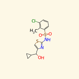 Cc1c(Cl)cccc1S(=O)(=O)Nc1nc(C(O)C2CC2)cs1